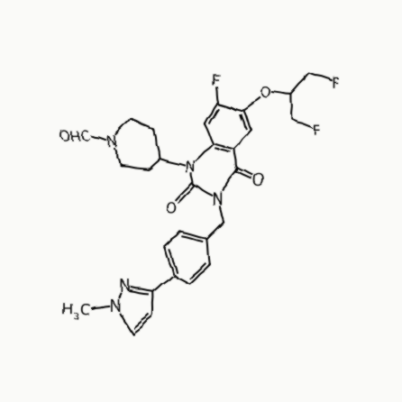 Cn1ccc(-c2ccc(Cn3c(=O)c4cc(OC(CF)CF)c(F)cc4n(C4CCN(C=O)CC4)c3=O)cc2)n1